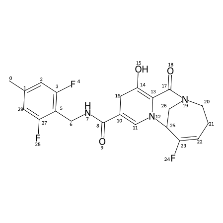 Cc1cc(F)c(CNC(=O)C2=CN3C(=C(O)C2)C(=O)N2CCC=C(F)C3C2)c(F)c1